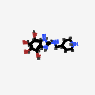 Brc1c(Br)c(Br)c2[nH]c(NCC3CCNCC3)nc2c1Br